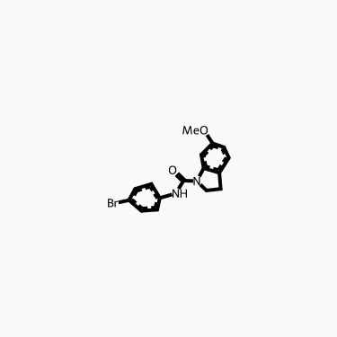 COc1ccc2c(c1)N(C(=O)Nc1ccc(Br)cc1)CC2